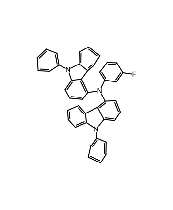 Fc1cccc(N(c2cccc3c2c2ccccc2n3-c2ccccc2)c2cccc3c2c2ccccc2n3-c2ccccc2)c1